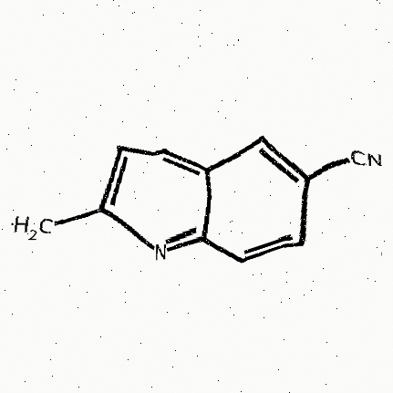 [CH2]c1ccc2cc(C#N)ccc2n1